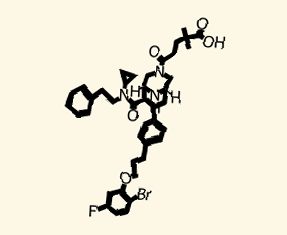 CC(C)(CCC(=O)N1C[C@H]2CC(c3ccc(CCCOc4cc(F)ccc4Br)cc3)=C(C(=O)N(CCc3ccccc3)C3CC3)[C@@H](C1)N2)C(=O)O